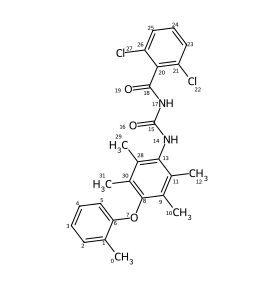 Cc1ccccc1Oc1c(C)c(C)c(NC(=O)NC(=O)c2c(Cl)cccc2Cl)c(C)c1C